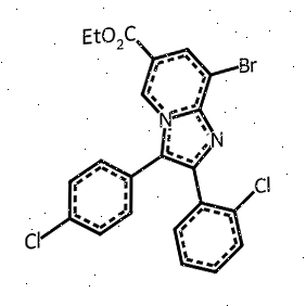 CCOC(=O)c1cc(Br)c2nc(-c3ccccc3Cl)c(-c3ccc(Cl)cc3)n2c1